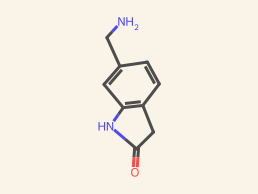 NCc1ccc2c(c1)NC(=O)C2